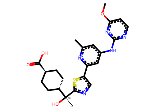 COc1ccnc(Nc2cc(C)nc(-c3cnc([C@@](C)(O)[C@H]4CC[C@H](C(=O)O)CC4)s3)c2)n1